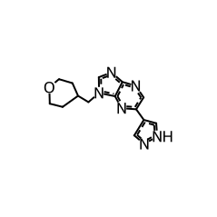 c1n[nH]cc1-c1cnc2ncn(CC3CCOCC3)c2n1